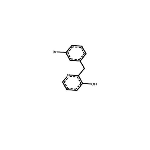 Oc1cccnc1Cc1cccc(Br)c1